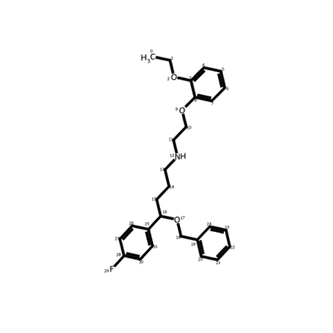 CCOc1ccccc1OCCNCCCC(OCc1ccccc1)c1ccc(F)cc1